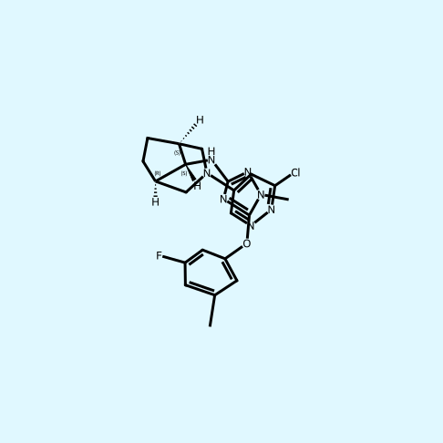 Cc1cc(F)cc(Oc2nc(N[C@@H]3[C@@H]4CC[C@H]3CN(c3cnnc(Cl)c3)C4)nn2C)c1